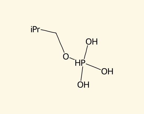 CC(C)CO[PH](O)(O)O